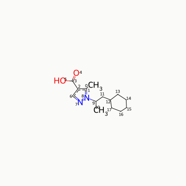 Cc1c(C(=O)O)cnn1C(C)CC1CCCCC1